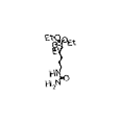 CCO[Si](CCCCCNC(N)=O)(OCC)OCC